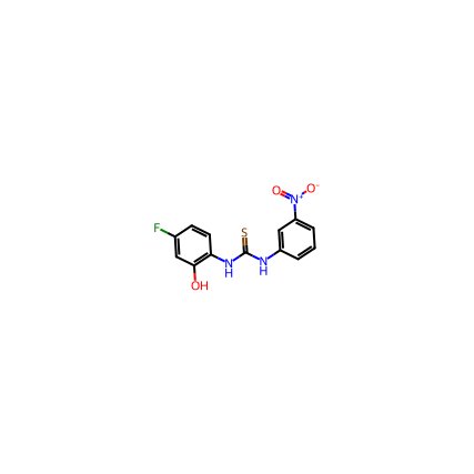 O=[N+]([O-])c1cccc(NC(=S)Nc2ccc(F)cc2O)c1